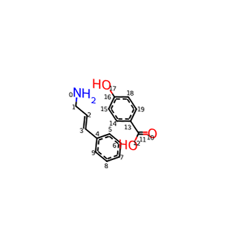 NCC=Cc1ccccc1.O=C(O)c1ccc(O)cc1